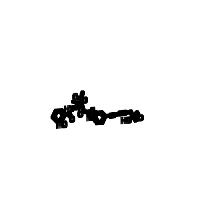 C[C@](CNC(=O)c1ccccc1O)(C[C@@H](O)c1nc2ccc(C#CC#CCC3(O)COC3)cc2s1)S(C)(=O)=O